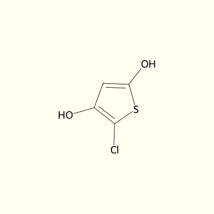 Oc1cc(O)c(Cl)s1